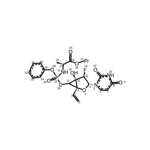 C=C[C@]12O[C@@H](n3ccc(=O)[nH]c3=O)[C@H](F)[C@@]1(O)C2OP(=O)(N[C@@H](C)C(=O)OC(C)C)Oc1ccccc1